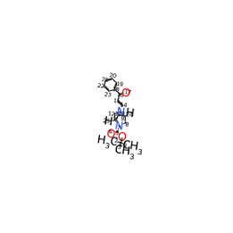 CC(C)(C)OC(=O)N1C[C@H]2C[C@@H]1CN2/C=C/C(=O)c1ccccc1